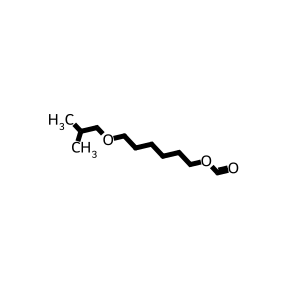 CC(C)COCCCCCCOC=O